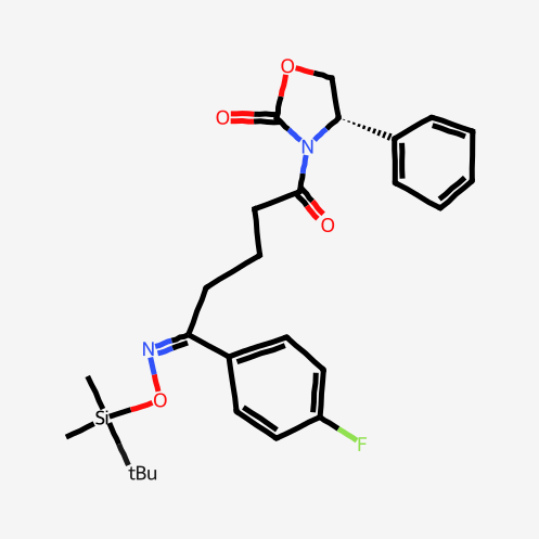 CC(C)(C)[Si](C)(C)O/N=C(/CCCC(=O)N1C(=O)OC[C@@H]1c1ccccc1)c1ccc(F)cc1